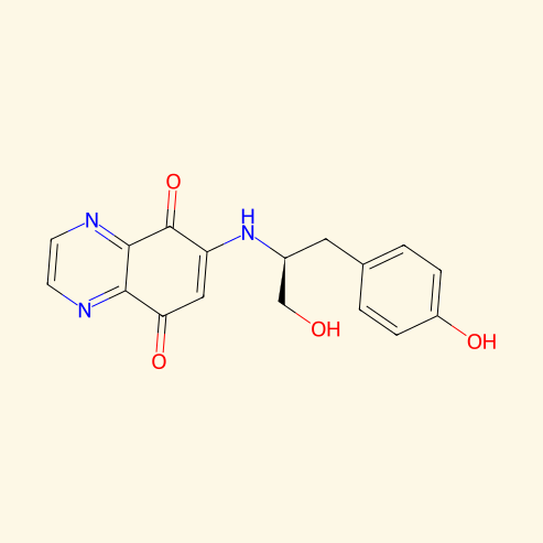 O=C1C=C(N[C@H](CO)Cc2ccc(O)cc2)C(=O)c2nccnc21